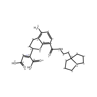 Cc1ccc(C(=O)NCCC23CCCN2CCC3)c2c1CCC(/C(=C/C(=O)O)C(=O)O)O2